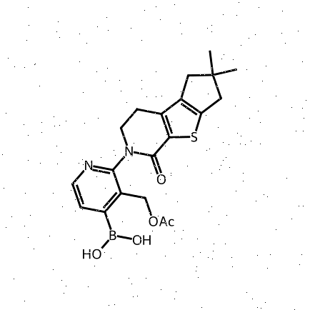 CC(=O)OCc1c(B(O)O)ccnc1N1CCc2c(sc3c2CC(C)(C)C3)C1=O